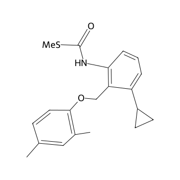 CSC(=O)Nc1cccc(C2CC2)c1COc1ccc(C)cc1C